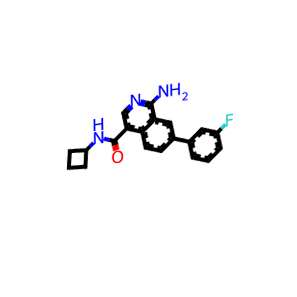 Nc1ncc(C(=O)NC2CCC2)c2ccc(-c3cccc(F)c3)cc12